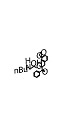 CCCCNCC(O)COC(Cc1ccc2c(c1)OCO2)C(=O)c1ccccc1